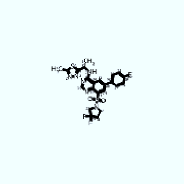 Cc1nnc([C@@H](C)Nc2ncnc3c(S(=O)(=O)N4CCC(F)(F)C4)cc(-c4ccc(F)cc4)cc23)s1